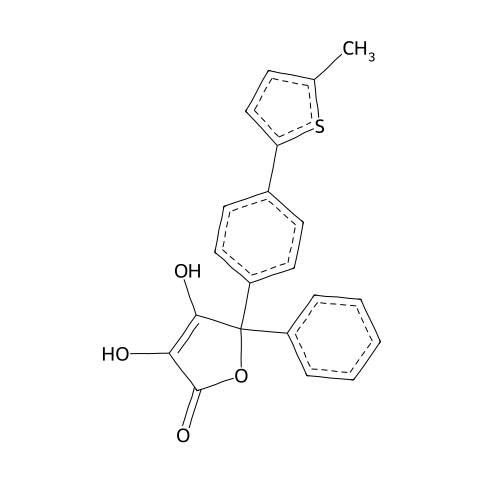 Cc1ccc(-c2ccc(C3(c4ccccc4)OC(=O)C(O)=C3O)cc2)s1